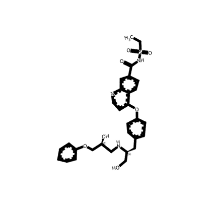 CCS(=O)(=O)NC(=O)c1ccc2c(Oc3ccc(C[C@@H](CO)NC[C@H](O)COc4ccccc4)cc3)ccnc2c1